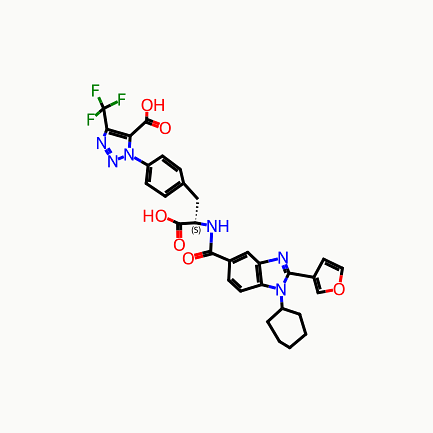 O=C(N[C@@H](Cc1ccc(-n2nnc(C(F)(F)F)c2C(=O)O)cc1)C(=O)O)c1ccc2c(c1)nc(-c1ccoc1)n2C1CCCCC1